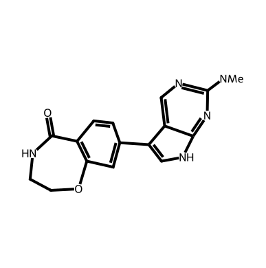 CNc1ncc2c(-c3ccc4c(c3)OCCNC4=O)c[nH]c2n1